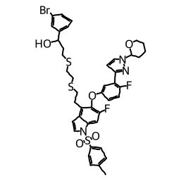 Cc1ccc(S(=O)(=O)n2ccc3c(CCSCCSCCC(O)c4cccc(Br)c4)c(Oc4ccc(F)c(-c5ccn(C6CCCCO6)n5)c4)c(F)cc32)cc1